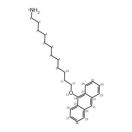 NCCCCCCCCCCCCOc1c2ccccc2cc2ccccc12